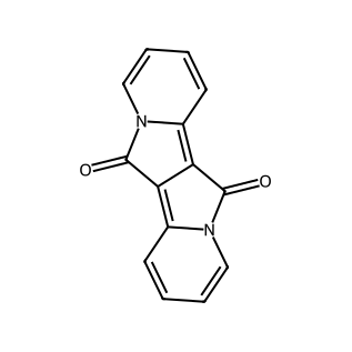 O=C1C2=C3C=CC=CN3C(=O)C2=C2C=CC=CN12